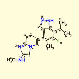 CNc1cn2cc(-c3c(C)c(F)c(C(C)C)c4[nH]ncc34)ccc2n1